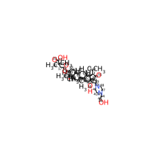 CC(C)C1=C2[C@H]3CC[C@@H]4[C@@]5(C)CC[C@H](OC(=O)CC(C)(C)C(=O)O)C(C)(C)[C@@H]5CC[C@@]4(C)[C@]3(C)CCC2(C(O)CN2CCN(CCO)CC2)CC1=O